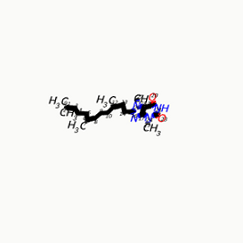 CC(C)=CCCC(C)=CCCC(C)=CCc1nc2c(c(=O)[nH]c(=O)n2C)n1C